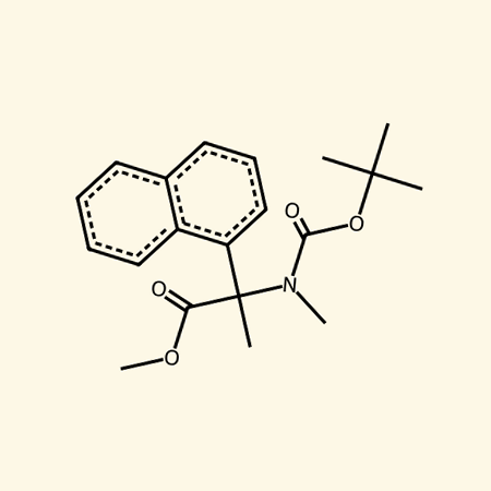 COC(=O)C(C)(c1cccc2ccccc12)N(C)C(=O)OC(C)(C)C